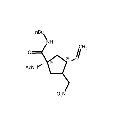 C=C[C@H]1C[C@](NC(C)=O)(C(=O)NCCCC)CC1C[N+](=O)[O-]